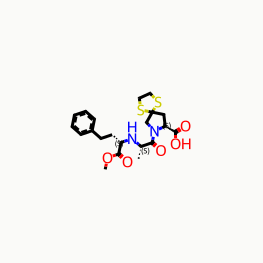 COC(=O)[C@H](CCc1ccccc1)N[C@@H](C)C(=O)N1CC2(C[C@H]1C(=O)O)SCCS2